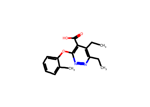 CCc1nnc(Oc2ccccc2C)c(C(=O)O)c1CC